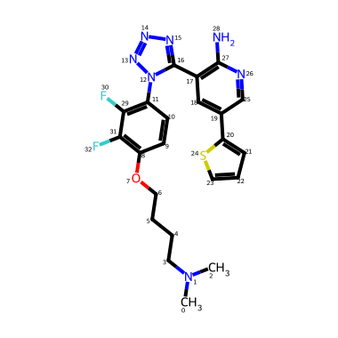 CN(C)CCCCOc1ccc(-n2nnnc2-c2cc(-c3cccs3)cnc2N)c(F)c1F